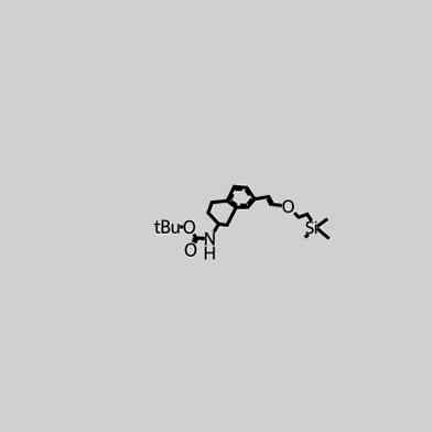 CC(C)(C)OC(=O)NC1CCc2ccc(C=COCC[Si](C)(C)C)cc2C1